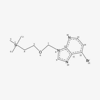 C[Si](C)(C)CCOCn1cnc2c(Br)ccnc21